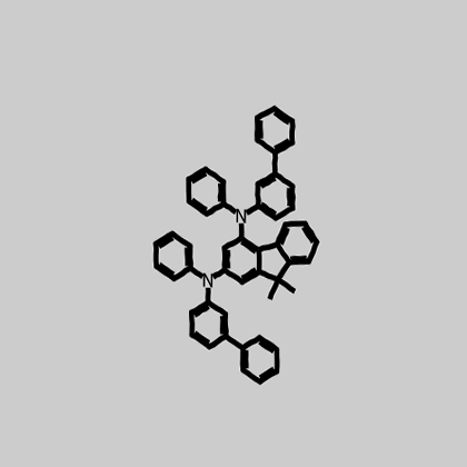 CC1(C)c2ccccc2-c2c(N(c3ccccc3)c3cccc(-c4ccccc4)c3)cc(N(c3ccccc3)c3cccc(-c4ccccc4)c3)cc21